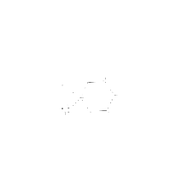 CC1CCC(I)(C(F)(F)F)CC1